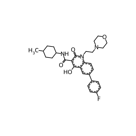 CC1CCC(NC(=O)c2c(O)c3cc(-c4ccc(F)cc4)ccc3n(CCN3CCOCC3)c2=O)CC1